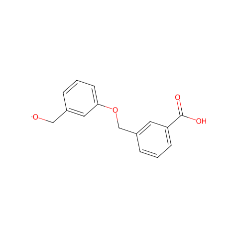 [O]Cc1cccc(OCc2cccc(C(=O)O)c2)c1